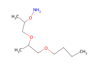 CCCCOCC(C)OCC(C)ON